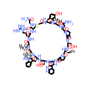 CCCC[C@H]1C(=O)N(C)[C@@H](C)C(=O)N[C@@H](CCCNC(=N)N)C(=O)NC(C(=O)NCC(N)=O)CSCC(=O)N[C@@H](Cc2ccc(O)cc2)C(=O)N(C)[C@@H](C)C(=O)N[C@@H](CC(N)=O)C(=O)N2CCC[C@H]2C(=O)N[C@@H](CO)C(=O)N[C@@H](CC(C)C)C(=O)N2CCC[C@H]2C(=O)N[C@@H](Cc2c[nH]c3ccccc23)C(=O)N[C@@H](CO)C(=O)N[C@@H](Cc2c[nH]c3ccccc23)C(=O)N1C